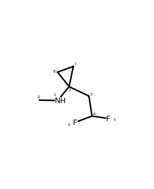 CNC1(CC(F)F)CC1